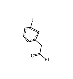 CCC(=O)Cc1cccc(I)c1